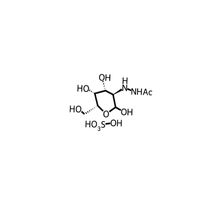 CC(=O)NN[C@H]1C(O)O[C@H](CO)[C@H](O)[C@@H]1O.O=S(=O)(O)O